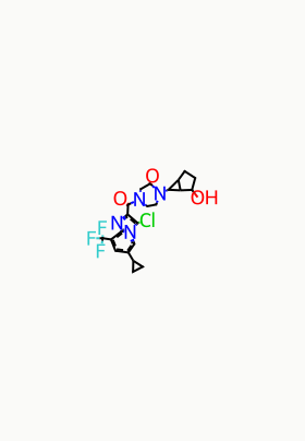 O=C(c1nc2c(C(F)(F)F)cc(C3CC3)cn2c1Cl)N1CCN(C2C3CCC(O)C32)C(=O)C1